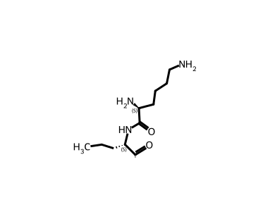 CCC[C@@H]([C]=O)NC(=O)[C@@H](N)CCCCN